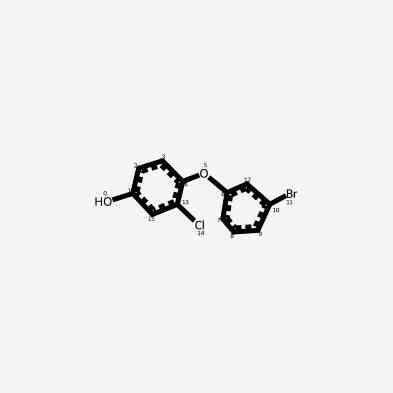 Oc1ccc(Oc2cccc(Br)c2)c(Cl)c1